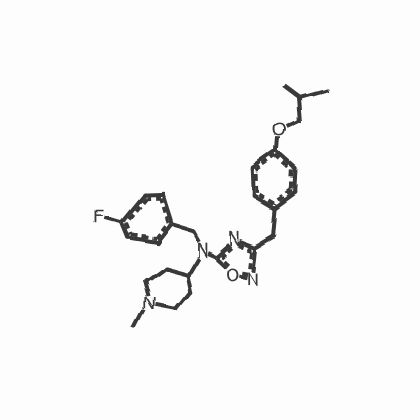 CC(C)COc1ccc(Cc2noc(N(Cc3ccc(F)cc3)C3CCN(C)CC3)n2)cc1